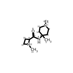 CCN1CCC(C)(NC(=O)C2CCN2C)CC1